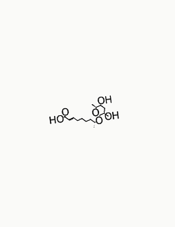 C[C@H](CCCC/C=C/C(=O)O)O[C@@H]1O[C@@H](C)[C@H](O)C[C@H]1O